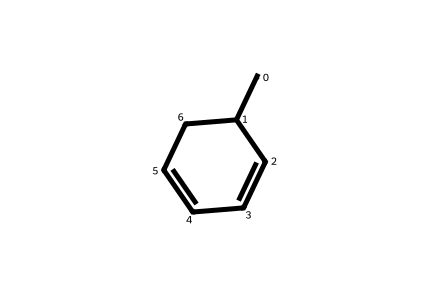 [CH2]C1C=CC=CC1